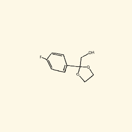 OCC1(c2ccc(F)cc2)OCCO1